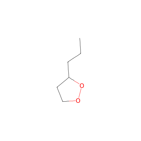 CCCC1CCOO1